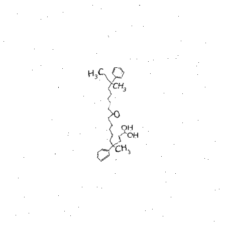 CCCC(C)(CCCCCC(=O)CCCCCC(C)(CCC(O)O)c1ccccc1)c1ccccc1